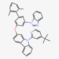 Cc1cccc(C)c1-c1cc(Oc2ccc3c4ccccc4n(-c4cc(C(C)(C)C)ccn4)c3c2)cc(-n2cnc3ccccc32)c1